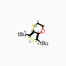 CC(C)(C)c1sc(C(C)(C)C)c2c1OCCS2